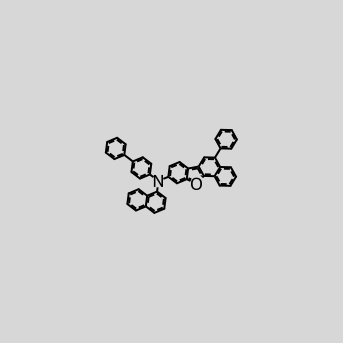 c1ccc(-c2ccc(N(c3ccc4c(c3)oc3c5ccccc5c(-c5ccccc5)cc43)c3cccc4ccccc34)cc2)cc1